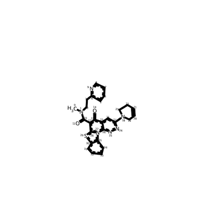 CN(CCc1ccccn1)C(=O)c1c(=O)c2cc(N3CC#CCC3)nnc2n2c1sc1ccccc12